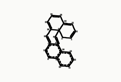 C1=CCC23C=c4c(ccc5ccccc45)=CC2=CC=CC3=C1